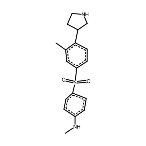 CNc1ccc(S(=O)(=O)c2ccc(C3CCNC3)c(C)c2)cc1